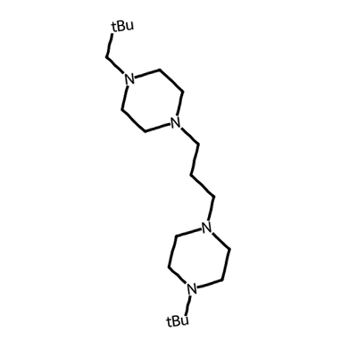 CC(C)(C)CN1CCN(CCCN2CCN(C(C)(C)C)CC2)CC1